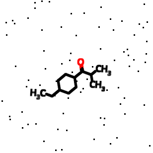 CCC1CCC(C(=O)C(C)C)CC1